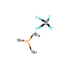 CCCC[PH+](C(C)(C)C)C(C)(C)C.F[B-](F)(F)F